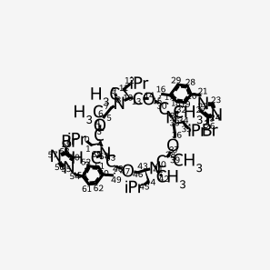 CC(C)C[C@H]1CO[C@H](C)CN(C)[C@@H](CC(C)C)CO[C@H](Cc2ccc(Cn3cnc(Br)c3)cc2)CN(C)[C@@H](CC(C)C)CO[C@H](C)CN(C)[C@@H](CC(C)C)CO[C@H](Cc2ccc(Cn3cnc(Br)c3)cc2)CN1C